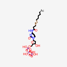 CC(=O)CCCCCSSCCC(=O)Nc1ccn(C2CC(O)C(COP(=O)(O)OP(=O)(O)OP(=O)(O)O)O2)c(=O)n1